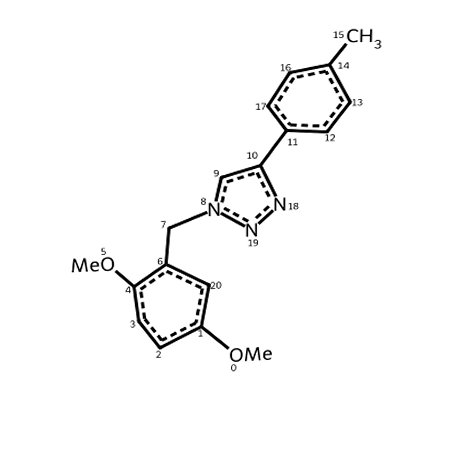 COc1ccc(OC)c(Cn2cc(-c3ccc(C)cc3)nn2)c1